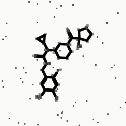 Cc1cc(CNC(=O)N(C2CC2)[C@@H]2CCCN(C(=O)C3(C#N)CCOC3)C2)c(F)cc1Cl